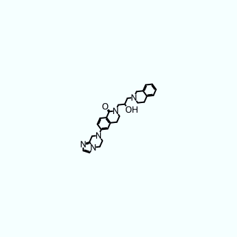 O=C1c2ccc(N3CCn4ccnc4C3)cc2CCN1CC(O)CN1CCc2ccccc2C1